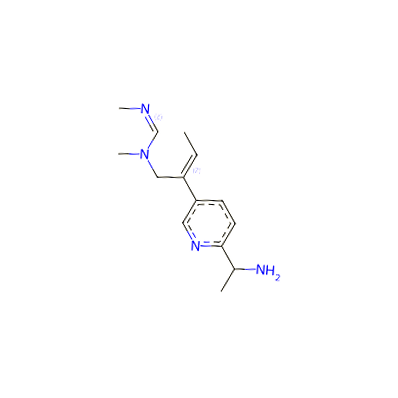 C/C=C(\CN(C)/C=N\C)c1ccc(C(C)N)nc1